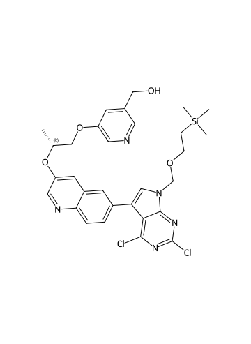 C[C@H](COc1cncc(CO)c1)Oc1cnc2ccc(-c3cn(COCC[Si](C)(C)C)c4nc(Cl)nc(Cl)c34)cc2c1